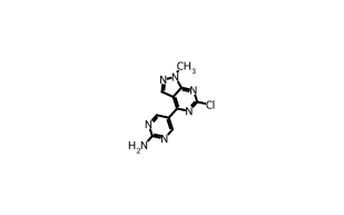 Cn1ncc2c(-c3cnc(N)nc3)nc(Cl)nc21